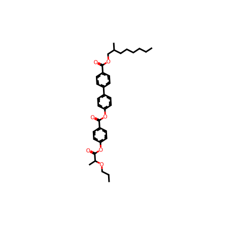 CCCCCCC(C)COC(=O)c1ccc(-c2ccc(OC(=O)c3ccc(OC(=O)C(C)OCCC)cc3)cc2)cc1